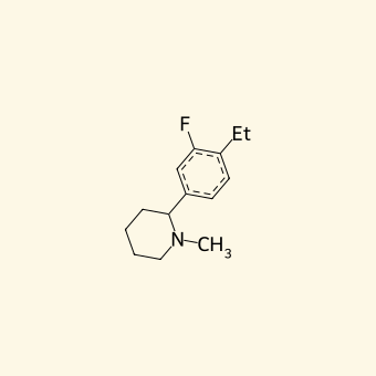 CCc1ccc(C2CCCCN2C)cc1F